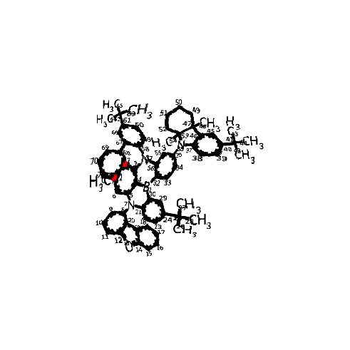 Cc1cc2c3c(c1)N(c1cccc4oc5ccccc5c14)c1ccc(C(C)(C)C)cc1B3c1ccc(N3c4ccc(C(C)(C)C)cc4C4(C)CCCCC34C)cc1N2c1ccc(C(C)(C)C)cc1-c1ccccc1